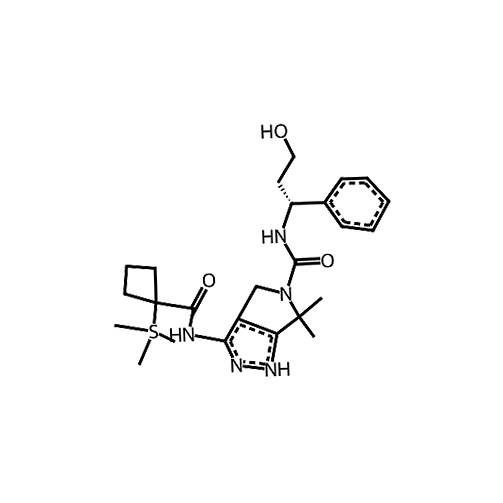 CC1(C)c2[nH]nc(NC(=O)C3(S(C)(C)C)CCC3)c2CN1C(=O)N[C@H](CCO)c1ccccc1